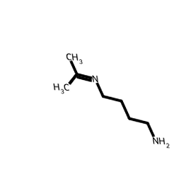 CC(C)=NCCCCN